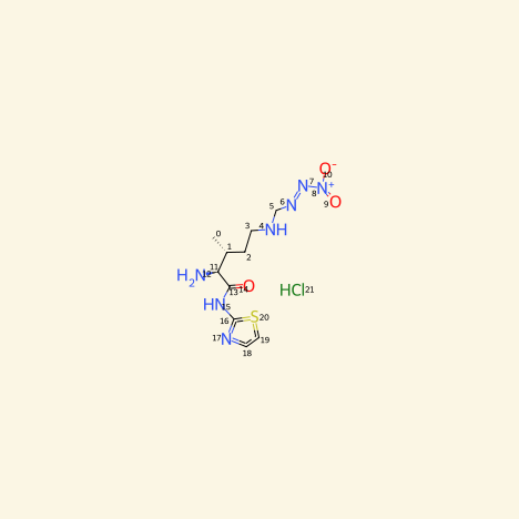 C[C@H](CCNCN=N[N+](=O)[O-])[C@H](N)C(=O)Nc1nccs1.Cl